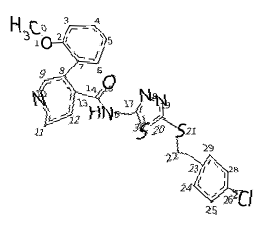 COc1ccccc1-c1cnccc1C(=O)Nc1nnc(SCc2ccc(Cl)cc2)s1